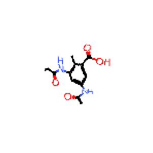 CC(=O)Nc1cc(NC(C)=O)c(C)c(C(=O)O)c1